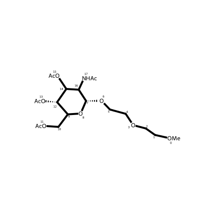 COCCOCCO[C@@H]1OC(COC(C)=O)[C@H](OC(C)=O)C(OC(C)=O)C1NC(C)=O